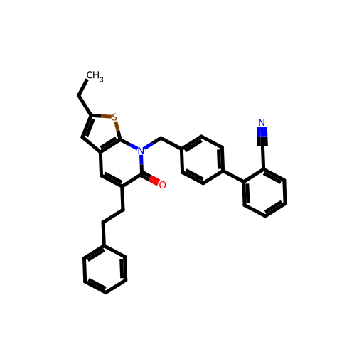 CCc1cc2cc(CCc3ccccc3)c(=O)n(Cc3ccc(-c4ccccc4C#N)cc3)c2s1